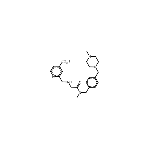 CN1CCN(Cc2ccc(CN(C)C(=O)CNCc3cc(C(=O)O)ccn3)cc2)CC1